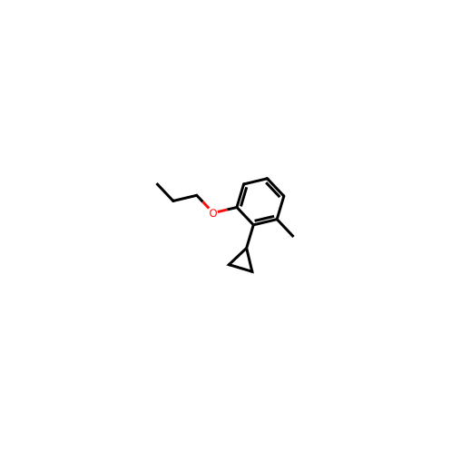 CCCOc1cccc(C)c1C1CC1